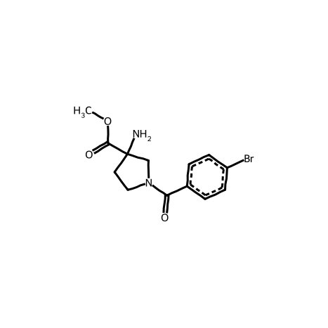 COC(=O)C1(N)CCN(C(=O)c2ccc(Br)cc2)C1